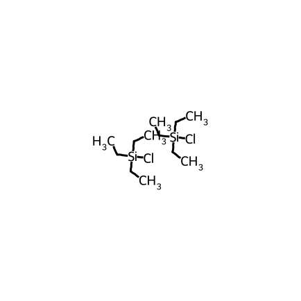 CC[Si](Cl)(CC)CC.CC[Si](Cl)(CC)CC